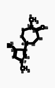 CN1CCN(c2nn(C)cc2Br)CCC1=O